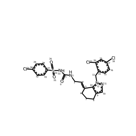 O=C(NCC=C1CCCc2cnn(Cc3ccc(Cl)cc3Cl)c21)NS(=O)(=O)c1ccc(Cl)cc1